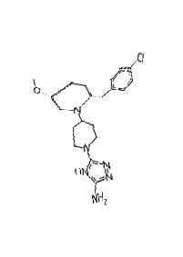 CO[C@@H]1CC[C@H](Cc2ccc(Cl)cc2)N(C2CCN(c3nnc(N)[nH]3)CC2)C1